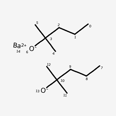 CCCC(C)(C)[O-].CCCC(C)(C)[O-].[Ba+2]